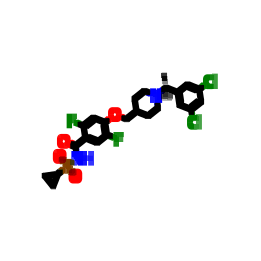 C[C@H](c1cc(Cl)cc(Cl)c1)N1CCC(COc2cc(F)c(C(=O)NS(=O)(=O)C3CC3)cc2F)CC1